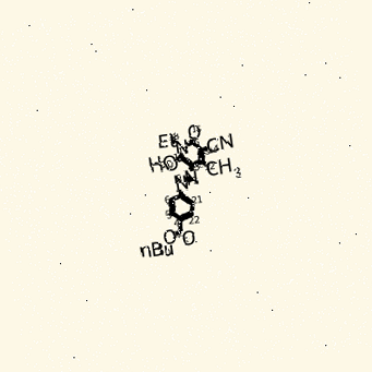 CCCCOC(=O)c1ccc(/N=N/c2c(C)c(C#N)c(=O)n(CC)c2O)cc1